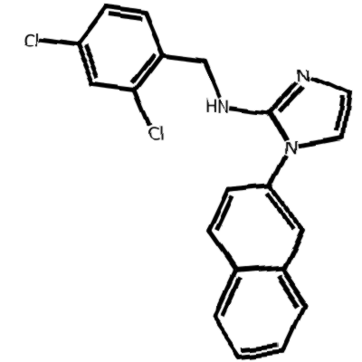 Clc1ccc(CNc2nccn2-c2ccc3ccccc3c2)c(Cl)c1